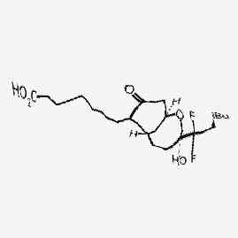 CC[C@H](C)CC(F)(F)[C@@]1(O)CC[C@@H]2C(CCCCCCC(=O)O)C(=O)C[C@H]2O1